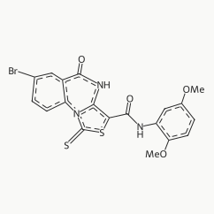 COc1ccc(OC)c(NC(=O)c2sc(=S)n3c2[nH]c(=O)c2cc(Br)ccc23)c1